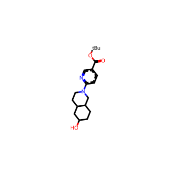 CC(C)(C)OC(=O)c1ccc(N2CCC3CC(O)CCC3C2)nc1